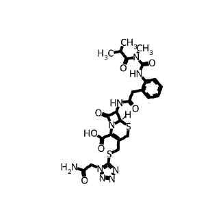 CC(C)C(=O)N(C)C(=O)Nc1ccccc1CC(=O)NC1C(=O)N2C(C(=O)O)=C(CSc3nnnn3CC(N)=O)CS[C@H]12